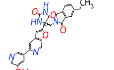 CCc1ccc2c(c1)C(=O)N(C[C@@]1(c3cc4cc(-c5cncc(O)c5)ncc4o3)NC(=O)NC1=O)C2